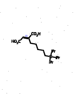 CC(C)[Si](CCCCC/C(=C\C(=O)O)C(=O)O)(C(C)C)C(C)C